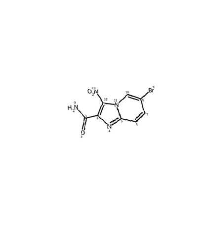 NC(=O)c1nc2ccc(Br)cn2c1[N+](=O)[O-]